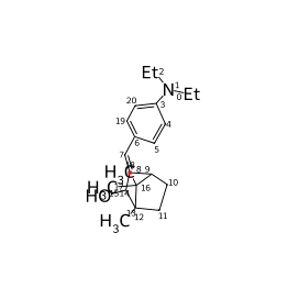 CCN(CC)c1ccc(/C=C2\C3CCC(C)(C2O)C3(C)C)cc1